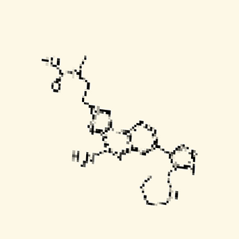 CN(CCn1cc2c(n1)c(N)nc1cc(-c3ccnn3C3CCCCO3)ccc12)C(=O)O